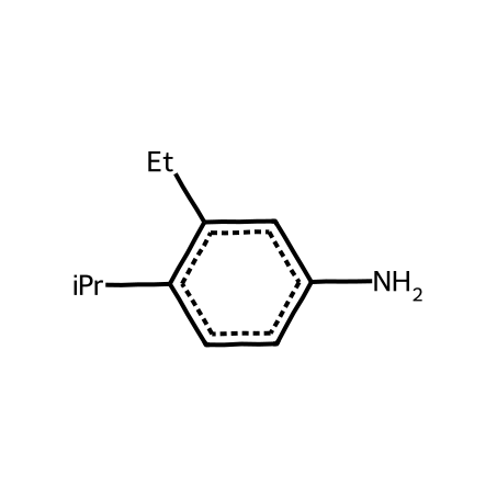 CCc1cc(N)ccc1C(C)C